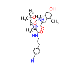 Cc1cc(O)cc(C)c1C[C@H](NC(=O)OC(C)(C)C)C(=O)N[C@H](C)C(=O)NCCCc1ccc(C#N)cc1